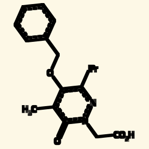 Cc1c(OCc2ccccc2)c(C(C)C)nn(CC(=O)O)c1=O